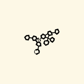 c1ccc(-c2ccc3c(c2)C(c2ccccc2)(c2ccccc2)c2cc(-n4c5ccc(-c6ccccc6)cc5c5cc(-c6ccccc6)ccc54)ccc2-3)cc1